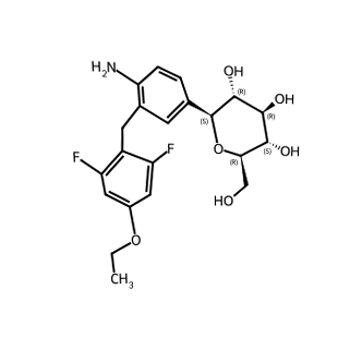 CCOc1cc(F)c(Cc2cc([C@@H]3O[C@H](CO)[C@@H](O)[C@H](O)[C@H]3O)ccc2N)c(F)c1